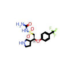 NC(=O)NS(=O)(=O)C[C@@H](Oc1ccc(C(F)(F)F)cc1)C1CCNC1